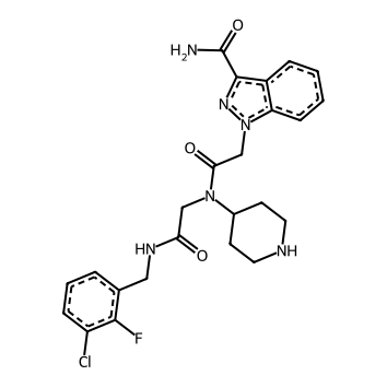 NC(=O)c1nn(CC(=O)N(CC(=O)NCc2cccc(Cl)c2F)C2CCNCC2)c2ccccc12